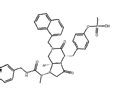 CN(C(=O)NCc1ccccc1)N1CC(=O)N2[C@@H](Cc3ccc(OP(C)(=O)O)cc3)C(=O)N(Cc3cccc4ccccc34)C[C@@H]21